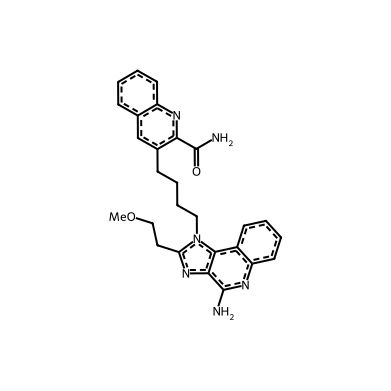 COCCc1nc2c(N)nc3ccccc3c2n1CCCCc1cc2ccccc2nc1C(N)=O